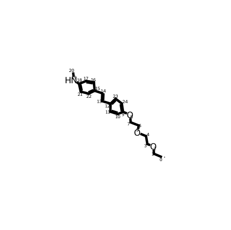 [CH2]COCCOCCOc1ccc(C=Cc2ccc(NC)cc2)cc1